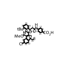 COc1nn(-c2c(CCC(=O)Nc3ccc(C(=O)O)cc3)cccc2C(C)(C)C)c(=O)cc1-c1cc(Cl)ccc1C(=O)CF